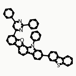 c1ccc(-c2cc(-c3cccc4c3oc3c4ccc4c5ccc(-c6ccc7c(c6)sc6ccccc67)cc5n(-c5ccccc5)c43)nc(-c3ccccc3)n2)cc1